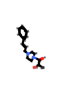 CCC(Br)C(=O)N1CCN(C/C=C/c2ccccc2)CC1